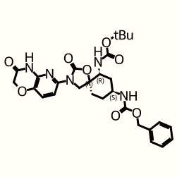 CC(C)(C)OC(=O)N[C@@H]1C[C@@H](NC(=O)OCc2ccccc2)CC[C@@]12CN(c1ccc3c(n1)NC(=O)CO3)C(=O)O2